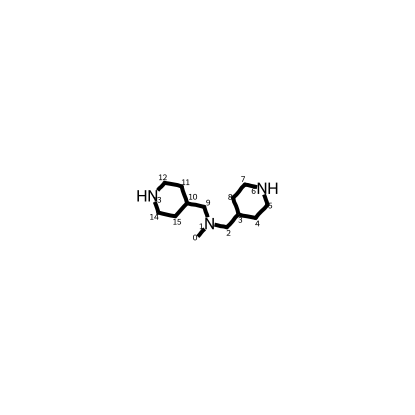 CN(CC1CCNCC1)CC1CCNCC1